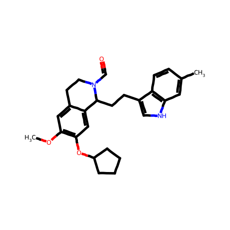 COc1cc2c(cc1OC1CCCC1)C(CCc1c[nH]c3cc(C)ccc13)N(C=O)CC2